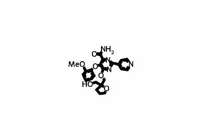 COc1ccccc1Oc1c(OCC2(CO)CCCO2)nc(-c2ccncc2)nc1C(N)=O